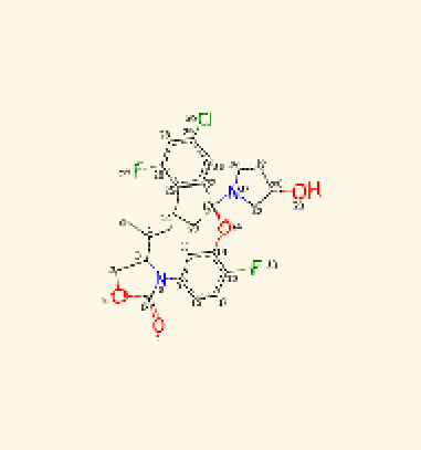 CC(C)C1COC(=O)N1c1ccc(F)c(O[C@@]2(N3CCC(O)C3)CCc3c(F)cc(Cl)cc32)c1